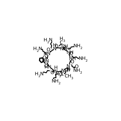 CC(C)C[C@@H]1NC(=O)[C@H](CCCCN)NC(=O)[C@H](CCCCN)NC(=O)[C@H](CCC(N)=O)NC(=O)[C@H](CC(C)C)NC(=O)[C@H](CCCCN)NC(=O)[C@H](CCCCN)NC(=O)[C@H](Cc2ccccc2)NC(=O)[C@H](CCCCN)NC(=O)[C@H](CCCCN)NC1=O